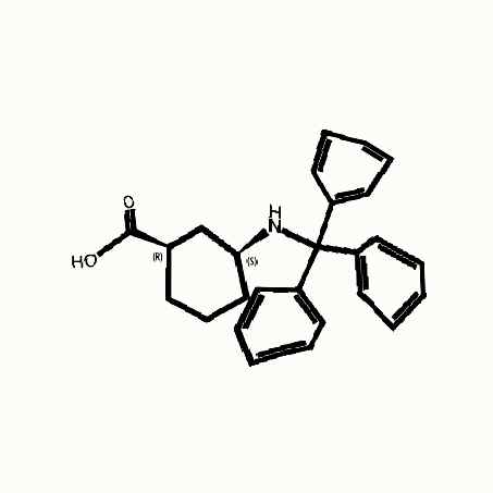 O=C(O)[C@@H]1CCC[C@H](NC(c2ccccc2)(c2ccccc2)c2ccccc2)C1